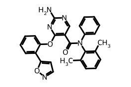 Cc1cccc(C)c1N(C(=O)c1cnc(N)nc1Oc1ccccc1-c1ccno1)c1ccccc1